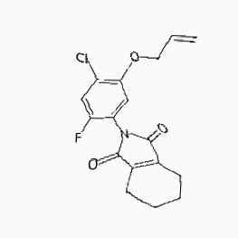 C=CCOc1cc(N2C(=O)C3=C(CCCC3)C2=O)c(F)cc1Cl